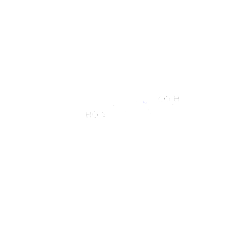 C/C(=C\CCS(=O)(=O)O)C(=O)O